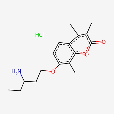 CCC(N)CCOc1ccc2c(C)c(C)c(=O)oc2c1C.Cl